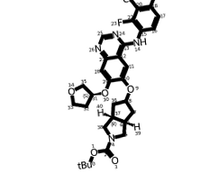 CC(C)(C)OC(=O)N1C[C@H]2CC(Oc3cc4c(Nc5ccc(F)c(Cl)c5F)ncnc4cc3O[C@H]3CCOC3)C[C@H]2C1